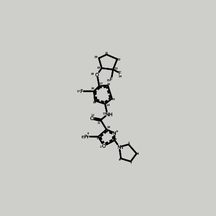 CCCc1oc(N2CCCC2)nc1C(=O)Nc1ccc(OC2CCCC2(F)F)c(F)c1